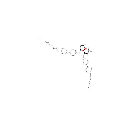 CCCCCCCCC1CCC(C2CCC(C(OC(c3ccc(F)c(F)c3F)C3CCC(C4CCC(CCCCCCCC)CC4)CC3)c3ccc(F)c(F)c3F)CC2)CC1